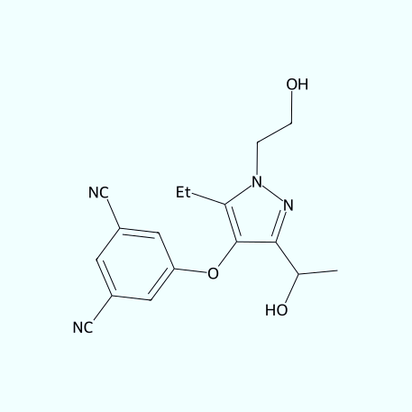 CCc1c(Oc2cc(C#N)cc(C#N)c2)c(C(C)O)nn1CCO